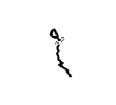 CCCCCCCCCCCCN=C(OC)c1ccccc1